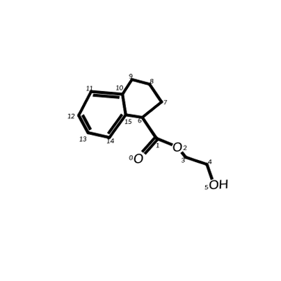 O=C(OCCO)C1CCCc2ccccc21